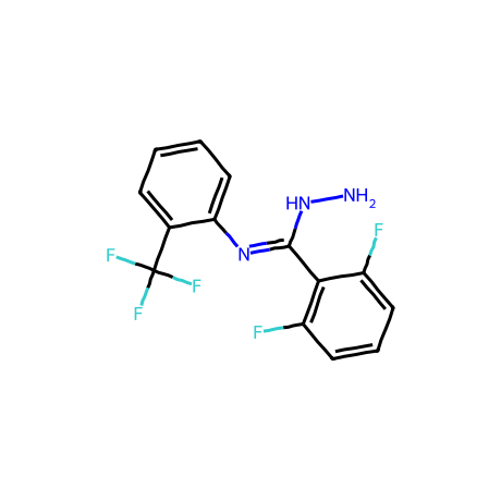 NNC(=Nc1ccccc1C(F)(F)F)c1c(F)cccc1F